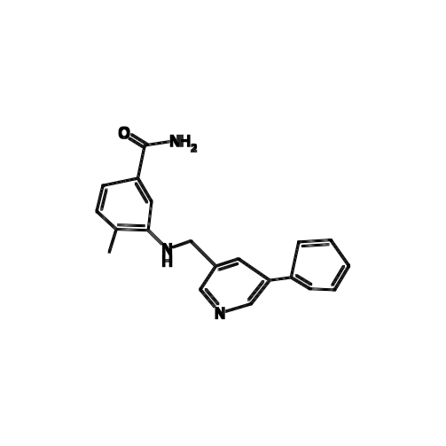 Cc1ccc(C(N)=O)cc1NCc1cncc(-c2ccccc2)c1